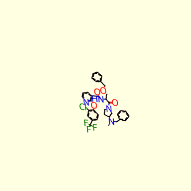 CN(Cc1ccccc1)C1CCN(C(=O)C(COCc2ccccc2)NC(=O)c2cccnc2Oc2ccc(C(F)(F)F)cc2Cl)C1